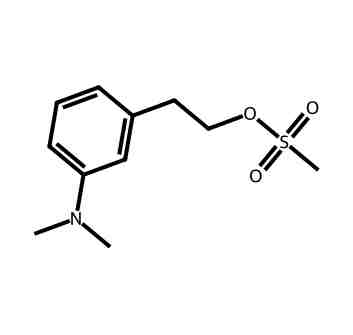 CN(C)c1cccc(CCOS(C)(=O)=O)c1